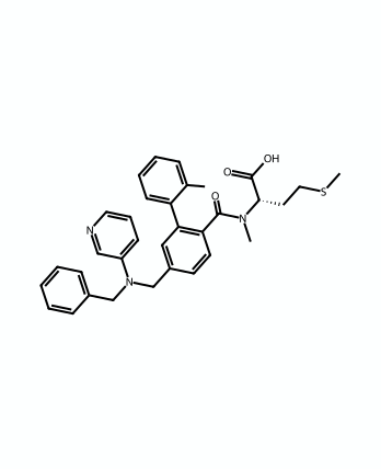 CSCC[C@@H](C(=O)O)N(C)C(=O)c1ccc(CN(Cc2ccccc2)c2cccnc2)cc1-c1ccccc1C